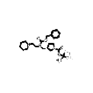 CC(C)(C)OC(=O)N1CC[C@H](CN(CCN2CCCCC2)C(=O)OCc2ccccc2)C1